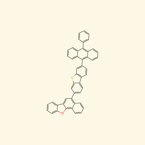 c1ccc(-c2c3ccccc3c(-c3ccc4c(c3)sc3cc(-c5cc6c7ccccc7oc6c6ccccc56)ccc34)c3ccccc23)cc1